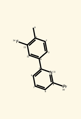 Cc1ccc(-c2cccc(C(C)C)n2)cc1F